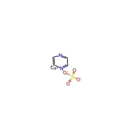 O=S(=O)([O-])[O-].[Cu+2].c1cnccn1